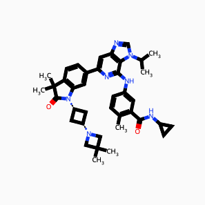 Cc1ccc(Nc2nc(-c3ccc4c(c3)N([C@H]3C[C@@H](N5CC(C)(C)C5)C3)C(=O)C4(C)C)cc3ncn(C(C)C)c23)cc1C(=O)NC1CC1